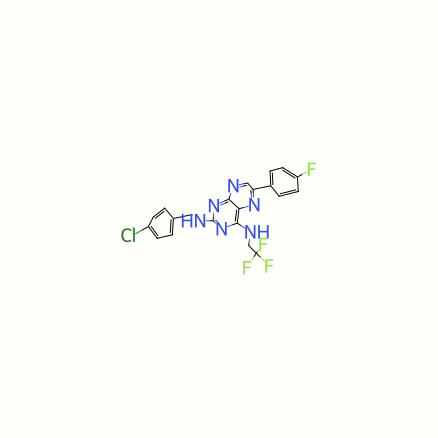 Fc1ccc(-c2cnc3nc(NCc4ccc(Cl)cc4)nc(NCC(F)(F)F)c3n2)cc1